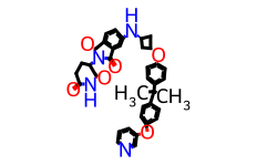 CC(C)(c1ccc(Oc2cccnc2)cc1)c1ccc(O[C@H]2C[C@H](Nc3ccc4c(c3)C(=O)N(C3CCC(=O)NC3=O)C4=O)C2)cc1